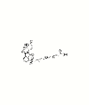 O=C(O)CCOCCOCCOCCS(=O)(=O)c1cccc2c1C(=O)N(C1CCC(=O)NC1=O)C2=O